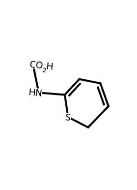 O=C(O)NC1=CC=CCS1